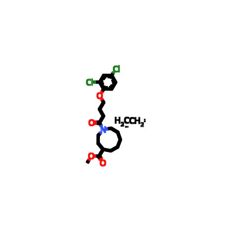 COC(=O)[C]1CCCCCN(C(=O)CCCOc2ccc(Cl)cc2Cl)CC1.[CH2].[CH2]